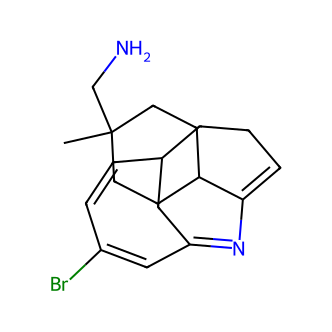 CC1(CN)CCC(C2=C\CCC3C=CC(Br)=C\C(=N\2)C3)CC1